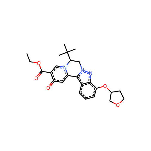 CCOC(=O)c1cn2c(cc1=O)-c1c3cccc(OC4CCOC4)c3nn1CC2C(C)(C)C